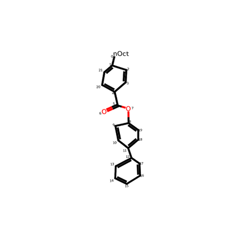 CCCCCCCCc1ccc(C(=O)Oc2ccc(-c3ccccc3)cc2)cc1